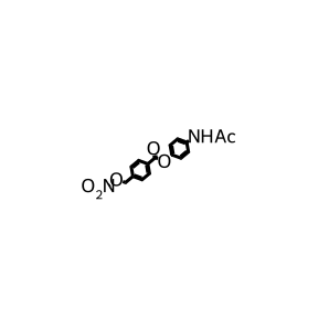 CC(=O)Nc1ccc(OC(=O)c2ccc(CO[N+](=O)[O-])cc2)cc1